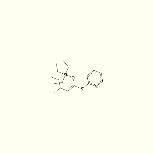 CCC(C)/C=C(\O[Si](CC)(CC)CC)Sc1ccccn1